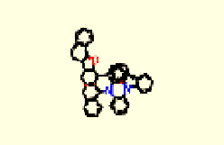 c1ccc(N(c2ccccc2-n2c3ccccc3c3ccccc32)c2cccc3ccccc23)c(-c2cccc3c2oc2c4ccccc4ccc32)c1